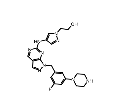 OCCn1cc(Nc2ncc3cnn(Cc4cc(F)cc(N5CCNCC5)c4)c3n2)cn1